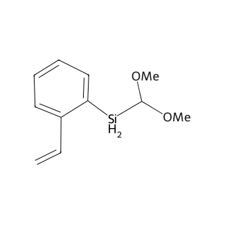 C=Cc1ccccc1[SiH2]C(OC)OC